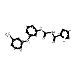 O=C(NC(=S)Nc1cccc(Oc2cc([N+](=O)[O-])ccn2)c1)c1ccco1